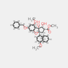 COC(=O)[C@@H]1[C@@H](O)[C@@]2(O)c3c(OC)cc(OCc4ccccc4)cc3O[C@@]2(c2ccc(OC)cc2)[C@H]1c1ccccc1